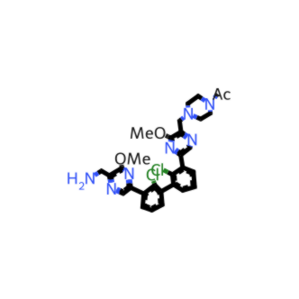 COc1nc(-c2cccc(-c3cccc(-c4cnc(CN5CCN(C(C)=O)CC5)c(OC)n4)c3Cl)c2Cl)cnc1CN